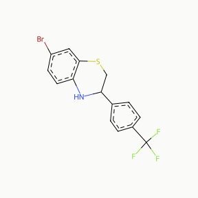 FC(F)(F)c1ccc(C2CSc3cc(Br)ccc3N2)cc1